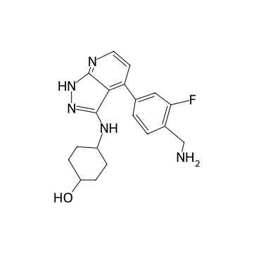 NCc1ccc(-c2ccnc3[nH]nc(NC4CCC(O)CC4)c23)cc1F